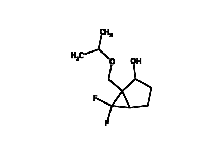 CC(C)OCC12C(O)CCC1C2(F)F